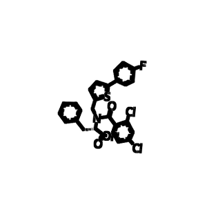 O=C(O)[C@H](Cc1ccccc1)N(Cc1ccc(-c2ccc(F)cc2)s1)C(=O)c1ccc(Cl)cc1Cl